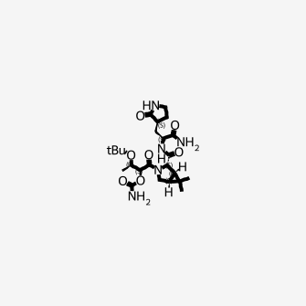 C[C@@H](OC(C)(C)C)[C@H](OC(N)=O)C(=O)N1C[C@H]2[C@@H]([C@H]1C(=O)N[C@@H](C[C@@H]1CCNC1=O)C(N)=O)C2(C)C